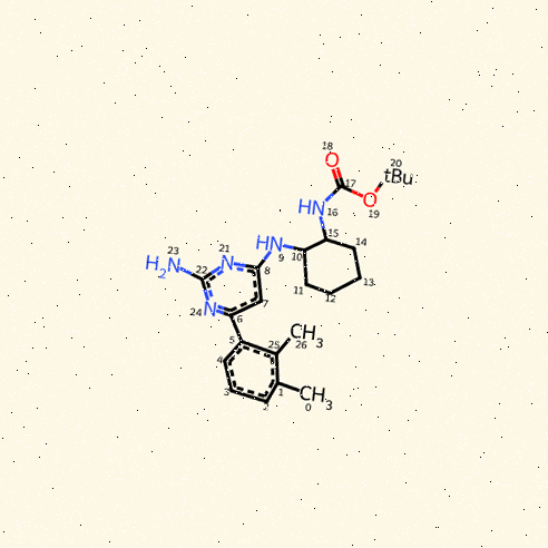 Cc1cccc(-c2cc(NC3CCCCC3NC(=O)OC(C)(C)C)nc(N)n2)c1C